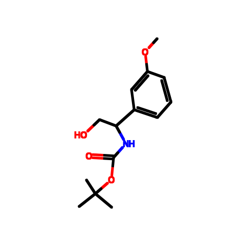 COc1cccc(C(CO)NC(=O)OC(C)(C)C)c1